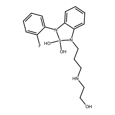 OCCNCCCN1c2ccccc2N(c2ccccc2F)S1(O)O